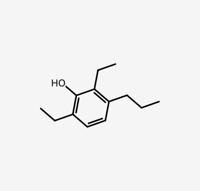 CCCc1ccc(CC)c(O)c1CC